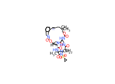 C=CC[C@](C)(NC(=O)[C@@H]1C[C@@H]2CN1C(=O)[C@H](CNC(=O)C=C)NC(=O)OCC(C)(C)CC/C=C/c1cccc3c1CN(C3)C(=O)O2)C(=O)NS(=O)(=O)C1CC1